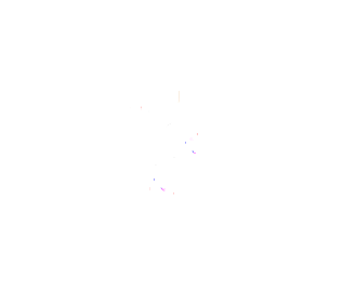 O=C1C=C(Br)C=C2C1=Cc1cc([N+](=O)[O-])cc([N+](=O)[O-])c12